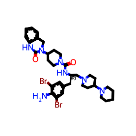 Nc1c(Br)cc(C[C@H](CN2CCC(N3CCCCC3)CC2)NC(=O)N2CCC(N3Cc4ccccc4NC3=O)CC2)cc1Br